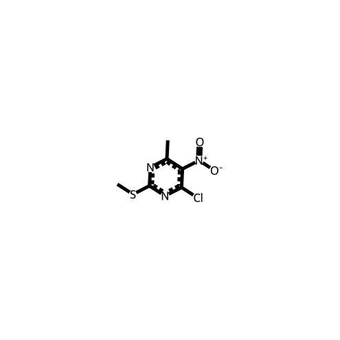 CSc1nc(C)c([N+](=O)[O-])c(Cl)n1